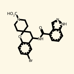 O=C(NC1CC2(CCN(C(=O)O)CC2)Oc2ccc(Br)cc21)c1cccc2[nH]ncc12